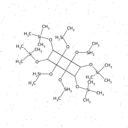 C[SiH2]OC12C3(O[SiH2]C)C4(O[SiH2]C)C1(O[SiH2]C)C1(O[Si](C)(C)C)C2(O[Si](C)(C)C)C3(O[Si](C)(C)C)C41O[Si](C)(C)C